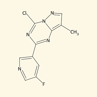 Cc1cnn2c(Cl)nc(-c3cncc(F)c3)nc12